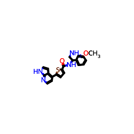 COc1cccc(C(CN)NC(=O)c2ccc(-c3ccnc4[nH]ccc34)s2)c1